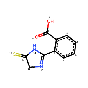 O=C(O)c1ccccc1C1=NCC(=S)N1